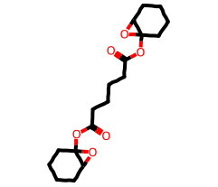 O=C(CCCCC(=O)OC12CCCCC1O2)OC12CCCCC1O2